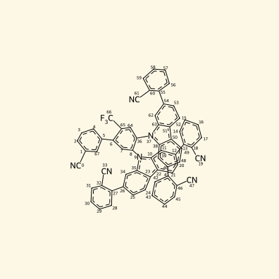 N#Cc1cccc(-c2cc(-n3c4cc(-c5ccccc5C#N)ccc4c4ccc(-c5ccccc5C#N)cc43)c(-n3c4cc(-c5ccccc5C#N)ccc4c4ccc(-c5ccccc5C#N)cc43)cc2C(F)(F)F)c1